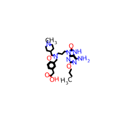 CCCCOc1nc(N)c2[nH]c(=O)n(CCCN(Cc3cccc(CC(=O)O)c3)C(=O)C3CCN(C)CC3)c2n1